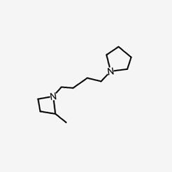 CC1CCN1CCCCN1CCCC1